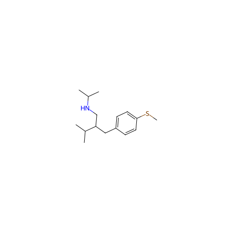 CSc1ccc(CC(CNC(C)C)C(C)C)cc1